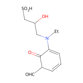 CCN(CC(O)CS(=O)(=O)O)C1=CC=CC(C=O)C1=O